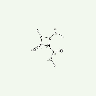 COC(=O)N1C(=O)C(C)C1SC